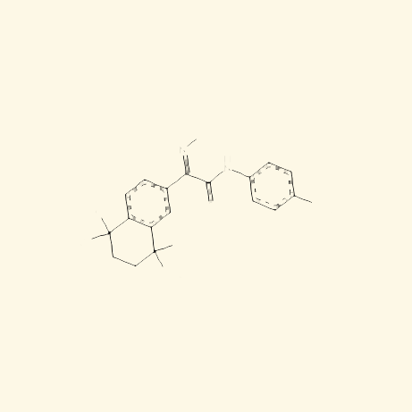 CC1(C)CCC(C)(C)c2cc(C(=NO)C(=O)Nc3ccc(C(=O)O)cc3)ccc21